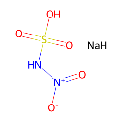 O=[N+]([O-])NS(=O)(=O)O.[NaH]